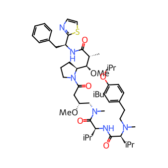 CC[C@H](C)[C@@H]([C@@H](CC(=O)N1CCC[C@H]1[C@H](OC)[C@@H](C)C(=O)N[C@@H](Cc1ccccc1)c1nccs1)OC)N(C)C(=O)[C@@H](NC(=O)[C@H](C(C)C)N(C)CCc1ccc(OC(C)C)cc1)C(C)C